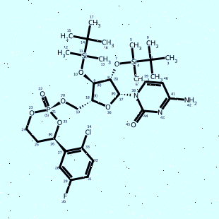 CC(C)(C)[Si](C)(C)O[C@H]1[C@H](O[Si](C)(C)C(C)(C)C)[C@@H](CO[P@]2(=O)OCC[C@H](c3cc(F)ccc3Cl)O2)O[C@H]1n1ccc(N)nc1=O